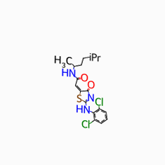 CC(C)CCC(C)NC(=O)C=C1SC(Nc2c(Cl)cccc2Cl)=NC1=O